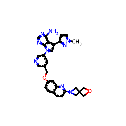 Cn1ccc(-c2cn(-c3cncc(COc4ccc5ccc(N6CC7(COC7)C6)nc5c4)c3)c3ncnc(N)c23)n1